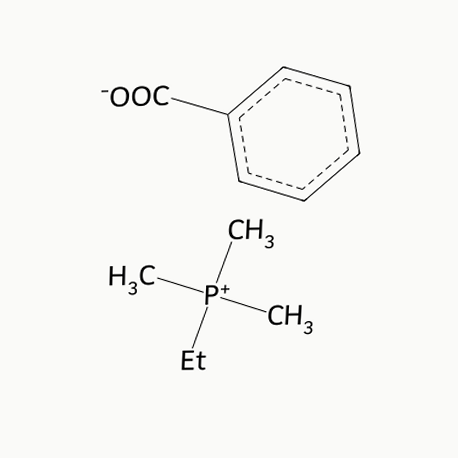 CC[P+](C)(C)C.O=C([O-])c1ccccc1